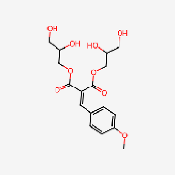 COc1ccc(C=C(C(=O)OCC(O)CO)C(=O)OCC(O)CO)cc1